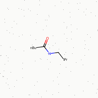 CCCCC(=O)[N]CC(C)C